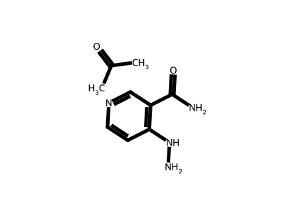 CC(C)=O.NNc1ccncc1C(N)=O